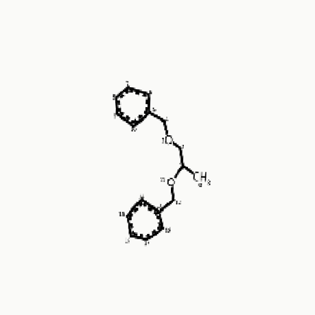 C[C](COCc1ccccc1)OCc1ccccc1